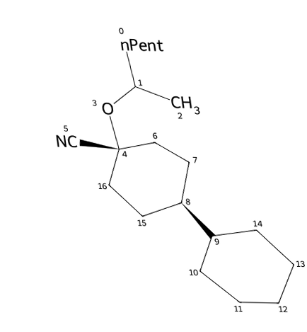 CCCCCC(C)O[C@]1(C#N)CC[C@@H](C2CCCCC2)CC1